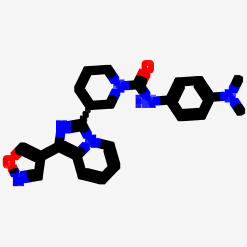 CN(C)c1ccc(NC(=O)N2CCC[C@@H](c3nc(-c4cnoc4)c4ccccn34)C2)cc1